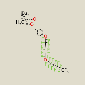 CCC(C)CC(C(=O)OCCc1ccc(OC(F)(F)C(F)(F)C(F)(F)C(F)(F)C(F)(F)C(F)(F)OC(F)(F)C(F)(F)C(F)(F)C(F)(F)C(F)(F)C(F)(F)F)cc1)C(C)(CC)CC